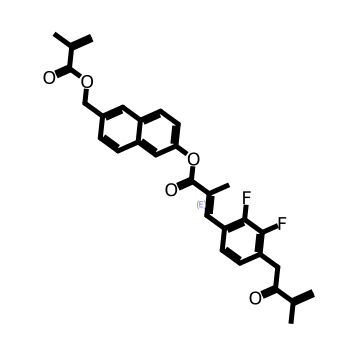 C=C(C)C(=O)Cc1ccc(/C=C(\C)C(=O)Oc2ccc3cc(COC(=O)C(=C)C)ccc3c2)c(F)c1F